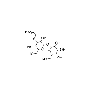 O=C(O)COC1C(O)[C@H](O[C@H]2OC(CO)[C@@H](O)C(O)C2O)OC(CO)[C@@H]1O